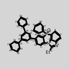 CCc1nc2cccc3c2n1-c1ccc(-c2cc(-c4ccccc4)cc(-c4ccccc4)c2)cc1P3(=O)c1ccccc1